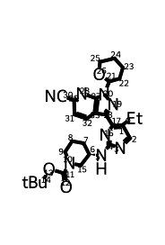 CCc1cnc(N[C@H]2CCCN(C(=O)OC(C)(C)C)C2)nc1-c1nn(C2CCCCO2)c2nc(C#N)ccc12